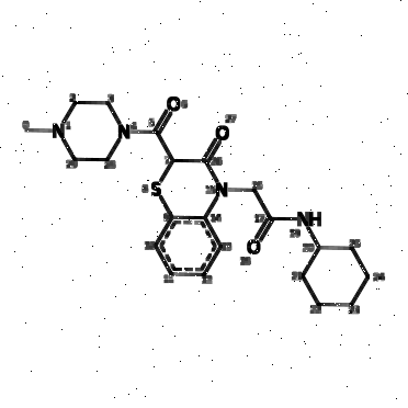 CN1CCN(C(=O)C2Sc3ccccc3N(CC(=O)NC3CCCCC3)C2=O)CC1